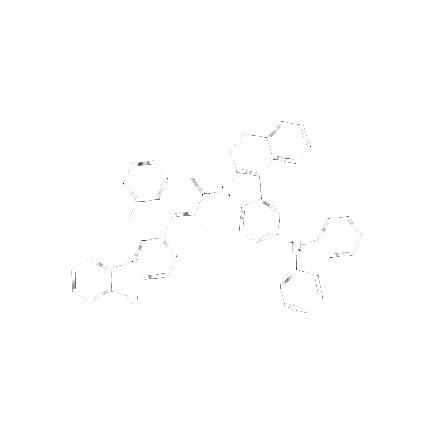 C=C(/C(C)=C(/c1ccc2oc3ccccc3c2c1)c1ccccc1C)n1c2ccc(-n3c4ccccc4c4ccccc43)cc2c2c3ccccc3ccc21